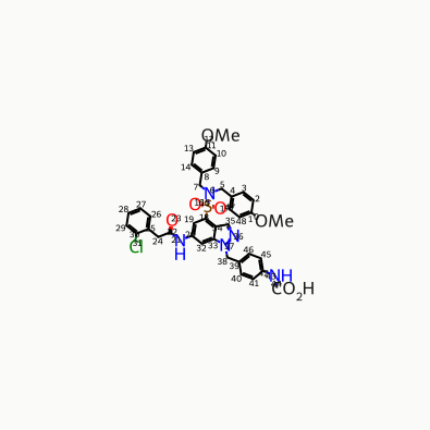 COc1ccc(CN(Cc2ccc(OC)cc2)S(=O)(=O)c2cc(NC(=O)Cc3ccccc3Cl)cc3c2cnn3Cc2ccc(NC(=O)O)cc2)cc1